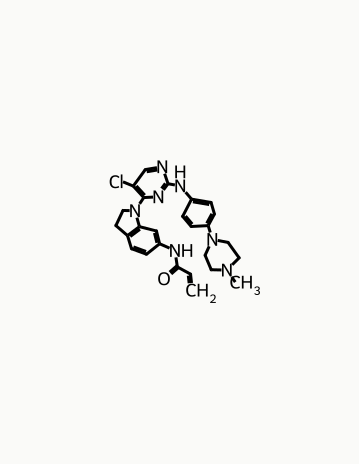 C=CC(=O)Nc1ccc2c(c1)N(c1nc(Nc3ccc(N4CCN(C)CC4)cc3)ncc1Cl)CC2